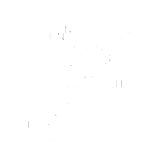 CCC(=C(c1ccc(C=CC(=O)O)cc1)c1ccc2[nH]ncc2c1)c1csc(-c2ccccc2)c1